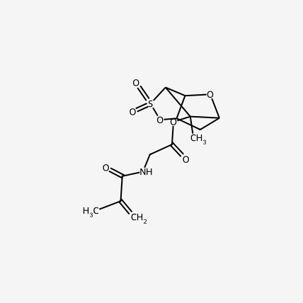 C=C(C)C(=O)NCC(=O)OC1(C)C2CC3OS(=O)(=O)C1C3O2